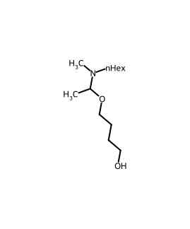 CCCCCCN(C)C(C)OCCCCO